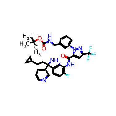 CC(C)(C)OC(=O)NCc1cccc(-n2nc(C(F)(F)F)cc2C(=O)Nc2cc(C(N)(CCC3CC3)c3cccnc3)ccc2F)c1